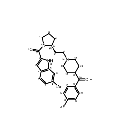 CC(=O)c1ccc2cc(C(=O)N3CCC[C@H]3CCN3CCC(C(=O)c4ccc(F)cc4)CC3)[nH]c2c1